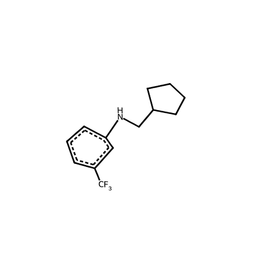 FC(F)(F)c1cccc(NCC2CCCC2)c1